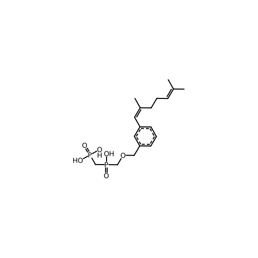 CC(C)=CCCC(C)=Cc1cccc(COCP(=O)(O)CP(=O)(O)O)c1